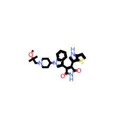 COC(C)(C)CN1CCC(n2cc(C3=C(c4c[nH]c5ccsc45)C(=O)NC3=O)c3ccccc32)CC1